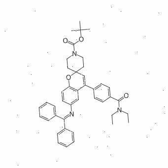 CCN(CC)C(=O)c1ccc(C2=CC3(CCN(C(=O)OC(C)(C)C)CC3)Oc3ccc(N=C(c4ccccc4)c4ccccc4)cc32)cc1